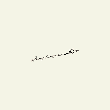 CC(C)NCCOCCOCCOCCOCCCCCn1cc(C(C)C)nn1